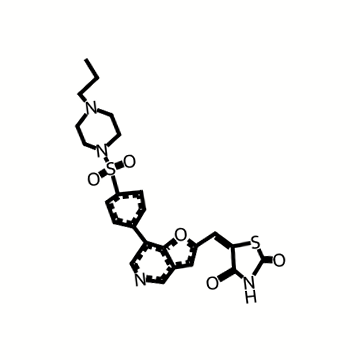 CCCN1CCN(S(=O)(=O)c2ccc(-c3cncc4cc(/C=C5/SC(=O)NC5=O)oc34)cc2)CC1